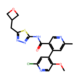 COc1cnc(Cl)cc1-c1cc(C)ncc1C(=O)Nc1nnc(CC2COC2)s1